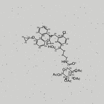 CC(=O)OC1O[C@H](C(=O)NCCCC(CO)c2ccc(Cl)c(CN(c3cnccc3-c3ccccc3OC3CC3)C3CC3)c2)[C@@H](OC(C)=O)[C@H](OC(C)=O)[C@H]1OC(C)=O